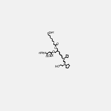 CCCCCCCCCCCCCCCCCC(=O)OCC(CCCCN(CCN(CCO)C1CCCC1)C1CCC1)COC(=O)CC(CCCCCC)CCCCCCCC